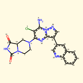 Nc1c(Cl)c(N2CCN3C(=O)NC(=O)C3C2)nc2c(-c3cnc4ccccc4c3)cnn12